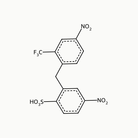 O=[N+]([O-])c1ccc(S(=O)(=O)O)c(Cc2ccc([N+](=O)[O-])cc2C(F)(F)F)c1